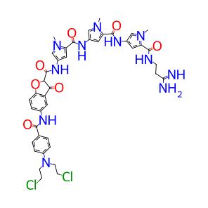 Cn1cc(NC(=O)c2cc(NC(=O)c3cc(NC(=O)C4Oc5ccc(NC(=O)c6ccc(N(CCCl)CCCl)cc6)cc5C4=O)cn3C)cn2C)cc1C(=O)NCCC(=N)N